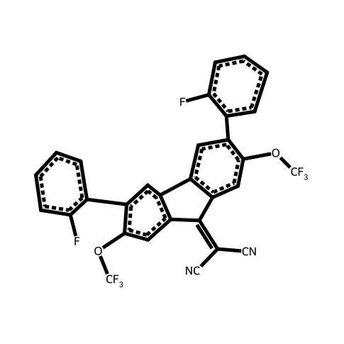 N#CC(C#N)=C1c2cc(OC(F)(F)F)c(-c3ccccc3F)cc2-c2cc(-c3ccccc3F)c(OC(F)(F)F)cc21